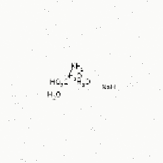 NC(=O)O.O.O.O.[NaH]